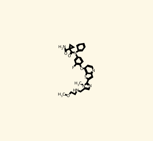 COCCNCc1cnc(-c2cc3nccc(Oc4ccc(N(C(=O)C5(C(N)=O)CC5)c5ccccc5)cc4F)c3s2)n1C